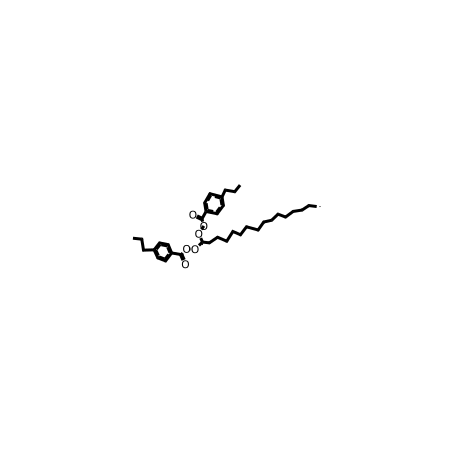 [CH2]CCCCCCCCCCCCCC[C](OOC(=O)c1ccc(CCC)cc1)OOC(=O)c1ccc(CCC)cc1